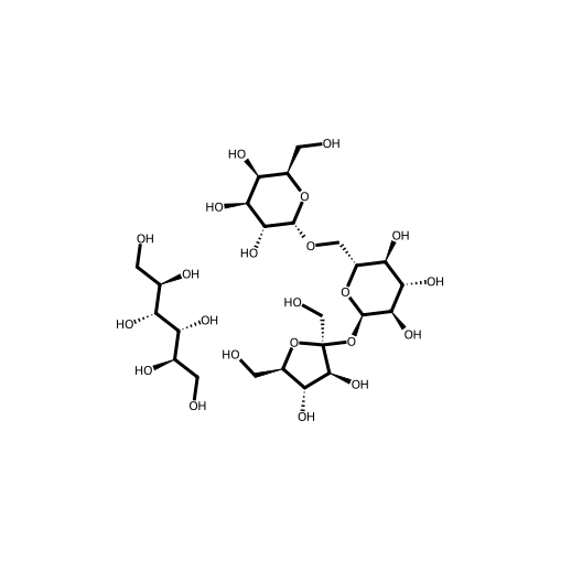 OC[C@@H](O)[C@@H](O)[C@H](O)[C@H](O)CO.OC[C@H]1O[C@H](OC[C@H]2O[C@H](O[C@]3(CO)O[C@H](CO)[C@@H](O)[C@@H]3O)[C@H](O)[C@@H](O)[C@@H]2O)[C@H](O)[C@@H](O)[C@H]1O